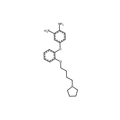 Nc1ccc(Oc2ccccc2OCCCCN2CCCC2)cc1N